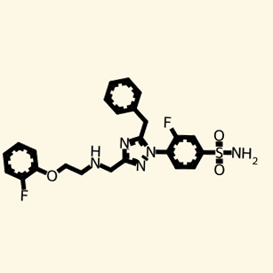 NS(=O)(=O)c1ccc(-n2nc(CNCCOc3ccccc3F)nc2Cc2ccccc2)c(F)c1